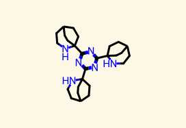 C1CC2CCC(c3nc(C45CCC(CCN4)CC5)nc(C45CCC(CCN4)CC5)n3)(CC2)N1